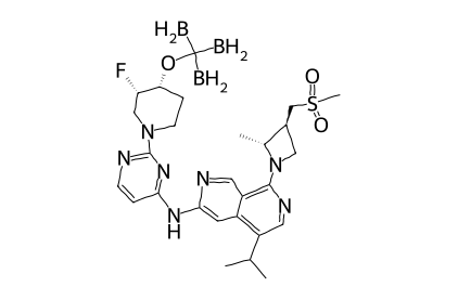 BC(B)(B)O[C@@H]1CCN(c2nccc(Nc3cc4c(C(C)C)cnc(N5C[C@H](CS(C)(=O)=O)[C@H]5C)c4cn3)n2)C[C@@H]1F